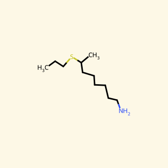 CCCSC(C)CCCCCCN